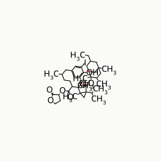 CCC1CC2CC(C)(C1)CC(C)C2(C)OC(=O)C1(C(C)C)CC1(C)C(C)C(CCC(C)Cc1cc(C)c(O)c(I)c1)C(=O)OC1CCOC1=O